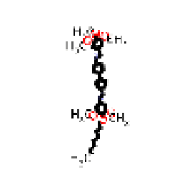 CCCCCCCCCOc1c(OC)cc(/C=C/c2ccc(-c3ccc(/C=C/c4cc(OC)c(OC)c(OC)c4)cc3)cc2)cc1OC